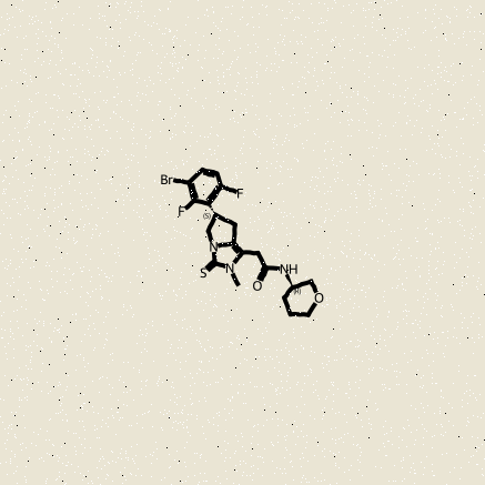 Cn1c(CC(=O)N[C@@H]2CCCOC2)c2n(c1=S)C[C@H](c1c(F)ccc(Br)c1F)C2